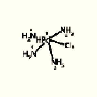 [NH2][PdH]([NH2])([NH2])([NH2])[Cl]